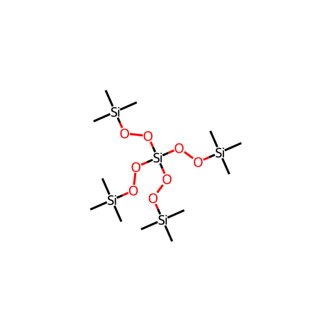 C[Si](C)(C)OO[Si](OO[Si](C)(C)C)(OO[Si](C)(C)C)OO[Si](C)(C)C